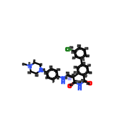 CN1CCN(c2ccc(N/C=C3\C(=O)NC(=O)c4ccc(-c5cccc(Cl)c5)cc43)cc2)CC1